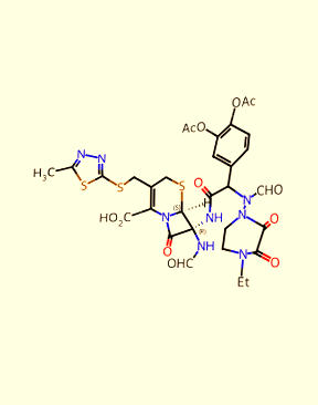 CCN1CCN(N(C=O)C(C(=O)N[C@]2(NC=O)C(=O)N3C(C(=O)O)=C(CSc4nnc(C)s4)CS[C@H]32)c2ccc(OC(C)=O)c(OC(C)=O)c2)C(=O)C1=O